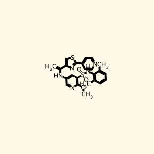 C=C(Nc1cnc(OC)c(S(=O)(=O)Nc2c(C)cccc2C)c1)c1csc(-c2ccncc2)n1